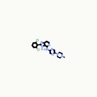 CN1CCN(c2cnc(Nc3nccc4nc(-c5c(Cl)cccc5Cl)[nH]c34)cn2)CC1